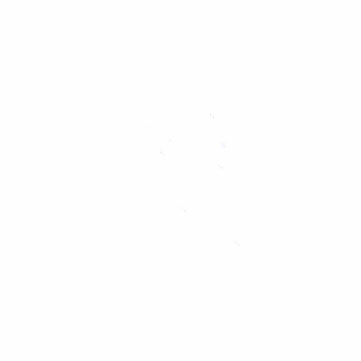 CNC(=O)c1ccnc(-c2cn(-c3c(F)cccc3F)c(=O)c3c(N)n[nH]c23)c1